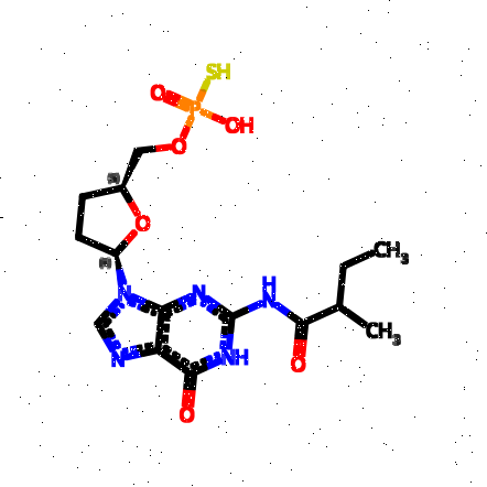 CCC(C)C(=O)Nc1nc2c(ncn2[C@H]2CC[C@@H](COP(=O)(O)S)O2)c(=O)[nH]1